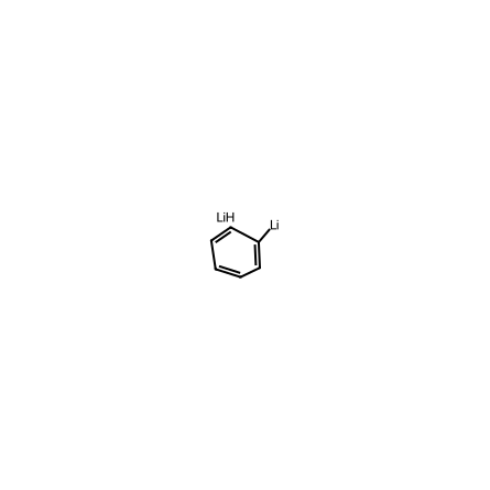 [LiH].[Li][c]1ccccc1